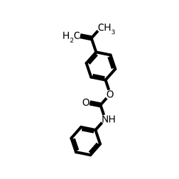 C=C(C)c1ccc(OC(=O)Nc2ccccc2)cc1